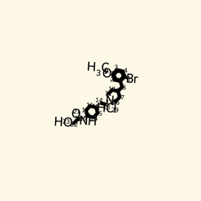 COc1ccc(Br)c(CC2CCN(CC[C@H]3CC[C@H](NC(=O)CO)CC3)CC2)c1.Cl